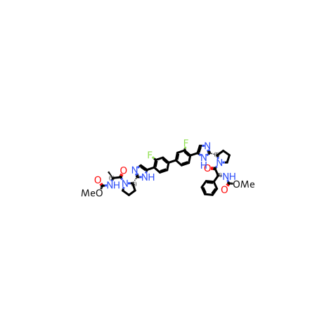 COC(=O)N[C@@H](C)C(=O)N1CCC[C@H]1c1ncc(-c2ccc(-c3ccc(-c4cnc([C@@H]5CCCN5C(=O)[C@H](NC(=O)OC)c5ccccc5)[nH]4)c(F)c3)cc2F)[nH]1